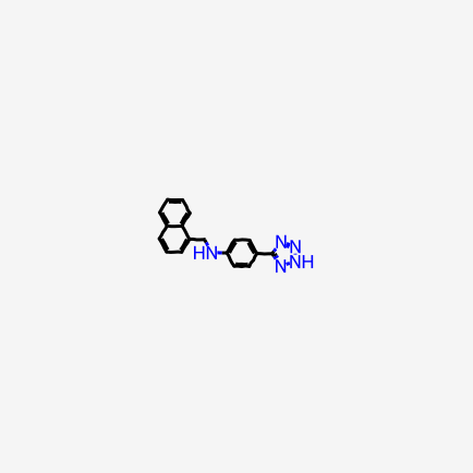 c1ccc2c(CNc3ccc(-c4nn[nH]n4)cc3)cccc2c1